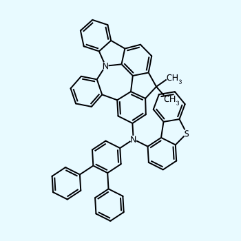 CC1(C)c2cc(N(c3ccc(-c4ccccc4)c(-c4ccccc4)c3)c3cccc4sc5ccccc5c34)cc3c2-c2c1ccc1c4ccccc4n(c21)-c1ccccc1-3